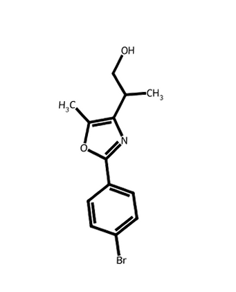 Cc1oc(-c2ccc(Br)cc2)nc1C(C)CO